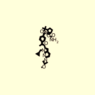 COC1CN(c2ccc3cc(-c4oc5cc(C(=O)N6CC7CCC6(C(C)(C)C)[C@@H]7OC(N)=O)ccc5c4C)n(CC4CC4)c3n2)C1